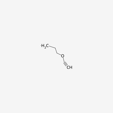 C#COCC[CH2]